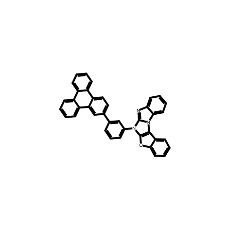 c1cc(-c2ccc3c4ccccc4c4ccccc4c3c2)cc(-n2c3oc4ccccc4c3n3c4ccccc4nc23)c1